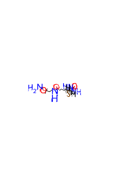 CC(C)(CCNC(=O)CCCC[C@@H]1SC[C@@H]2NC(=O)N[C@@H]21)OCN